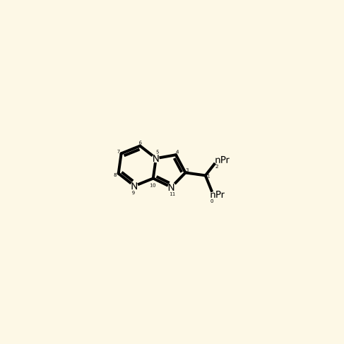 CCCC(CCC)c1cn2cccnc2n1